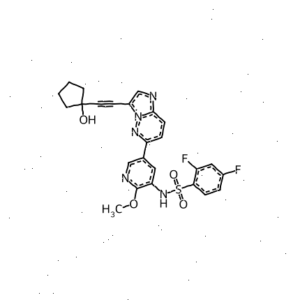 COc1ncc(-c2ccc3ncc(C#CC4(O)CCCC4)n3n2)cc1NS(=O)(=O)c1ccc(F)cc1F